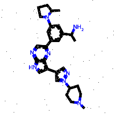 CC(N)c1cc(-c2cnc3[nH]cc(-c4cnn(C5CCN(C)CC5)c4)c3n2)cc(N2CCCC2C)c1